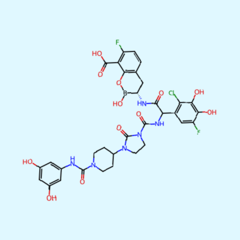 O=C(O)c1c(F)ccc2c1OB(O)[C@@H](NC(=O)C(NC(=O)N1CCN(C3CCN(C(=O)Nc4cc(O)cc(O)c4)CC3)C1=O)c1cc(F)c(O)c(O)c1Cl)C2